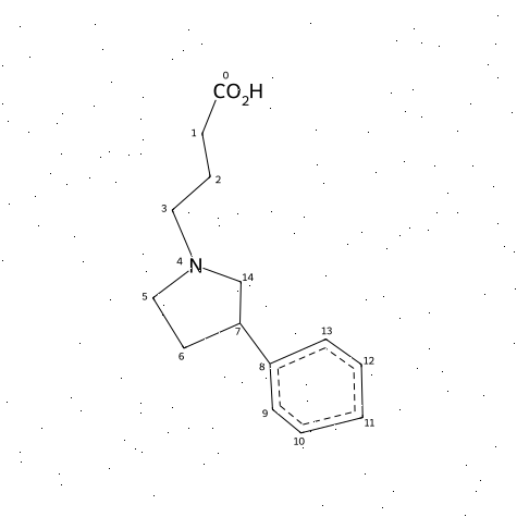 O=C(O)CCCN1CCC(c2ccccc2)C1